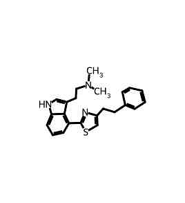 CN(C)CCc1c[nH]c2cccc(-c3nc(CCc4ccccc4)cs3)c12